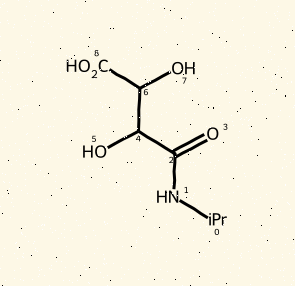 CC(C)NC(=O)C(O)C(O)C(=O)O